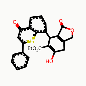 CCOC(=O)C1=C(O)CC2=C(C(=O)OC2)C1c1cccc2c(=O)cc(-c3ccccc3)sc12